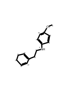 COc1ccc(NCCC2=CCCC=C2)cc1